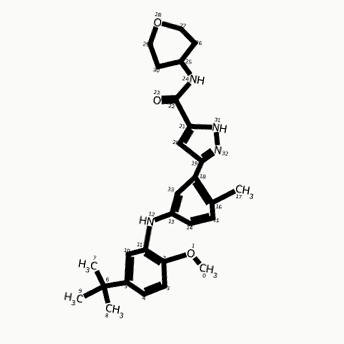 COc1ccc(C(C)(C)C)cc1Nc1ccc(C)c(-c2cc(C(=O)NC3CCOCC3)[nH]n2)c1